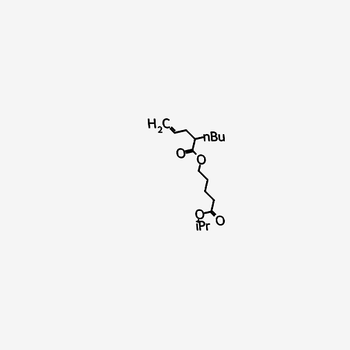 C=CCC(CCCC)C(=O)OCCCCC(=O)OC(C)C